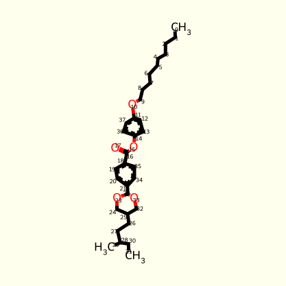 CCCCCCCCCCOc1ccc(OC(=O)c2ccc(C3OCC(CCC(C)CC)CO3)cc2)cc1